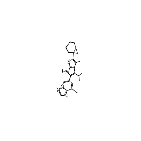 Cc1c(C23CCCCC2C3)sc2[nH]c(-c3cc(C)c4ncnn4c3)c(C(C)C)c12